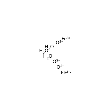 O.O.O.[Fe+3].[Fe+3].[O-2].[O-2].[O-2]